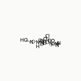 Cc1cc(-n2cncn2)c2cccc(OCc3c(Cl)ccc(S(=O)(=O)N4CCC[C@H]4C(=O)NCC4CCN(CCCO)CC4)c3Cl)c2n1